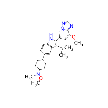 COc1cc(-c2[nH]c3ccc(C4CCC(N(C)OC)CC4)cc3c2C(C)C)cn2ncnc12